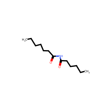 CCCCCCC(=O)NC(=O)CCCCC